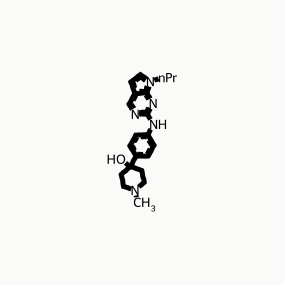 [CH2]CCn1ccc2cnc(Nc3ccc(C4(O)CCN(C)CC4)cc3)nc21